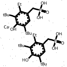 CCc1c(CP(=O)(O)O)cc(C(C)(C)C)c(O)c1C(C)(C)C.CCc1c(CP(=O)(O)O)cc(C(C)(C)C)c(O)c1C(C)(C)C.[Ca]